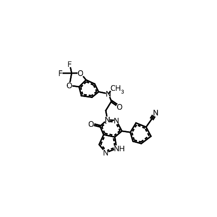 CN(C(=O)Cn1nc(-c2cccc(C#N)c2)c2[nH]ncc2c1=O)c1ccc2c(c1)OC(F)(F)O2